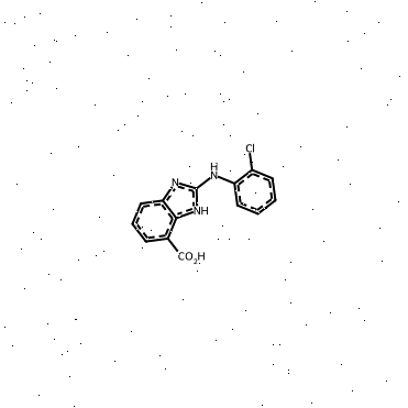 O=C(O)c1cccc2nc(Nc3ccccc3Cl)[nH]c12